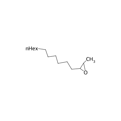 CCCCCCCCCCCCC1OC1C